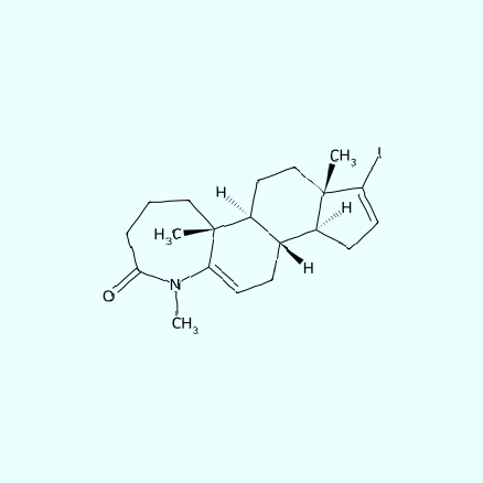 CN1C(=O)CCC[C@@]2(C)C1=CC[C@@H]1[C@@H]2CC[C@]2(C)C(I)=CC[C@@H]12